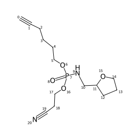 C#CCCCCOP(=O)(NCC1CCCO1)OCCC#N